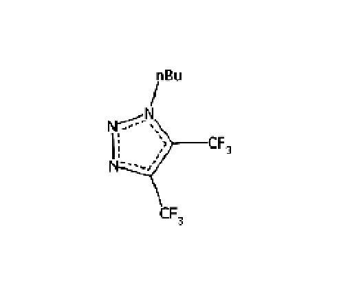 CCCCn1nnc(C(F)(F)F)c1C(F)(F)F